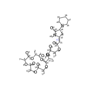 CCOC(=O)C(C)OC(=O)C(C)OC(=O)C(C)OC(=O)C(C)OC(=O)C(C)OC(=O)C(C)OC(=O)/C=C1/SC(N2CCCCC2)C(=O)N1C